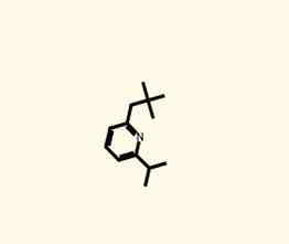 CC(C)c1cccc(CC(C)(C)C)n1